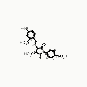 [NH]c1ccc(N=NC2C(=O)N(c3ccc(S(=O)(=O)O)cc3)NC2C(=O)O)c(S(=O)(=O)O)c1